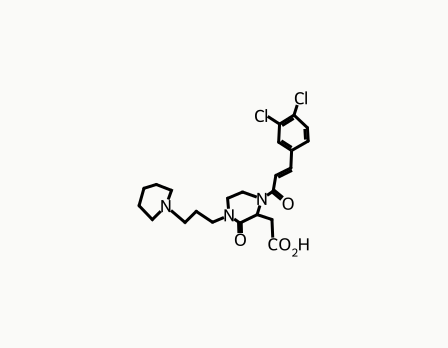 O=C(O)CC1C(=O)N(CCCN2CCCCC2)CCN1C(=O)/C=C/c1ccc(Cl)c(Cl)c1